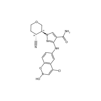 N#C[C@@H]1CCOC[C@H]1n1cc(C(N)=O)c(Nc2ccc3c(c2)C(Cl)=CB(O)O3)n1